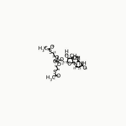 CC(=O)SCCOP(=O)(OCCSC(C)=O)OC[C@H]1O[C@@H](n2ccc(=O)[nH]c2=S)[C@](C)(O)C1O